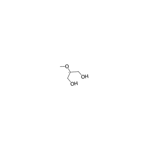 CO[C](CO)CO